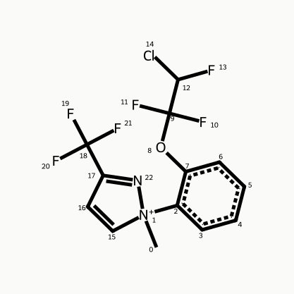 C[N+]1(c2ccccc2OC(F)(F)C(F)Cl)C=CC(C(F)(F)F)=N1